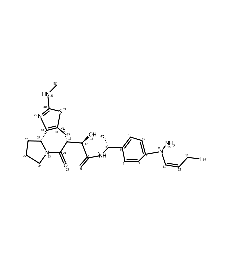 C=C(N[C@H](C)c1ccc(N(N)/C=C\CI)cc1)[C@H](O)[C@@H](C)C(=O)N1CCC[C@@H]1c1nc(NC)sc1C